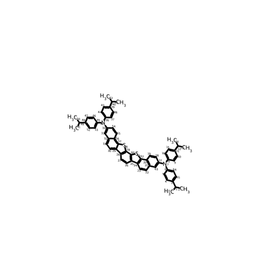 CC(C)c1ccc(N(c2ccc(C(C)C)cc2)c2ccc3c(ccc4c5ccc6c7ccc8cc(N(c9ccc(C(C)C)cc9)c9ccc(C(C)C)cc9)ccc8c7sc6c5sc34)c2)cc1